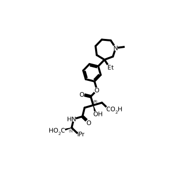 CCC1(c2cccc(OC(=O)[C@](O)(CC(=O)O)CC(=O)N[C@H](C(=O)O)C(C)C)c2)CCCCN(C)C1